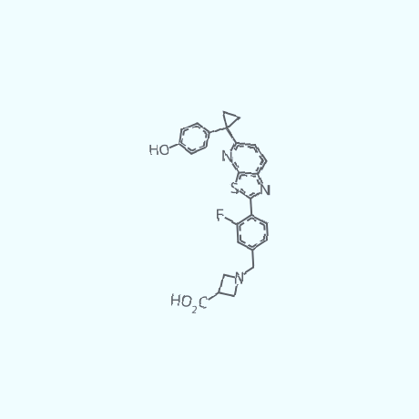 O=C(O)C1CN(Cc2ccc(-c3nc4ccc(C5(c6ccc(O)cc6)CC5)nc4s3)c(F)c2)C1